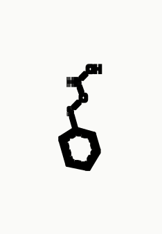 OBOSc1ccccc1